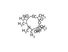 CC1CCC[C@](C)(O)C[C@H](C)CN(C)C(C)[C@@H](O)C(C)(O)[C@H](C)OC1=O